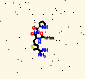 CCCCCCC(=O)N[C@@H](Cc1cc(C(=N)N)cs1)C(=O)NC(=O)[C@@H]1CCCN1